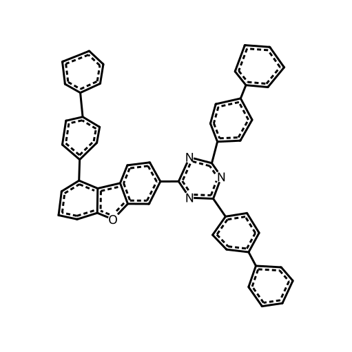 c1ccc(-c2ccc(-c3nc(-c4ccc(-c5ccccc5)cc4)nc(-c4ccc5c(c4)oc4cccc(-c6ccc(-c7ccccc7)cc6)c45)n3)cc2)cc1